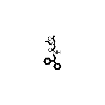 CC1CN(CC(=O)NCCC(c2ccccc2)c2ccccc2)CC(C)O1